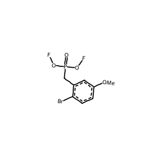 COc1ccc(Br)c(CP(=O)(OF)OF)c1